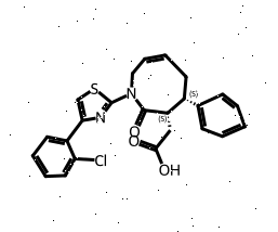 O=C(O)C[C@@H]1C(=O)N(c2nc(-c3ccccc3Cl)cs2)CC=CC[C@@H]1c1ccccc1